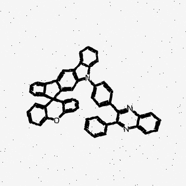 c1ccc(-c2nc3ccccc3nc2-c2ccc(-n3c4ccccc4c4cc5c(cc43)C3(c4ccccc4Oc4ccccc43)c3ccccc3-5)cc2)cc1